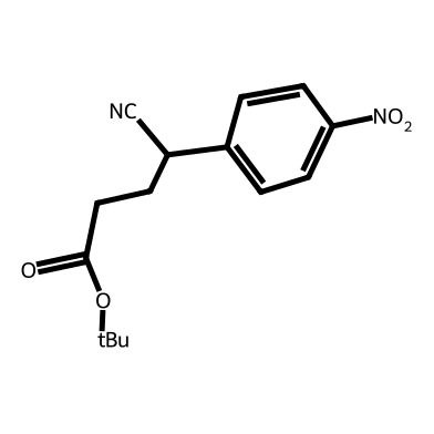 CC(C)(C)OC(=O)CCC(C#N)c1ccc([N+](=O)[O-])cc1